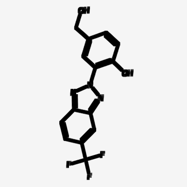 OCc1ccc(O)c(-n2nc3ccc(C(F)(F)F)cc3n2)c1